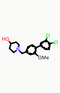 COc1cc(CN2CCC(O)CC2)ccc1-c1ccc(Cl)c(Cl)c1